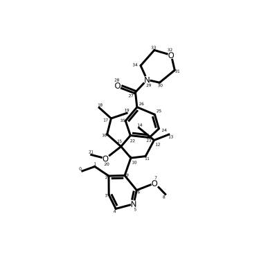 CCc1ccnc(OC)c1[C](CC(C)C)C(CC(C)C)(OC)c1cccc(C(=O)N2CCOCC2)c1